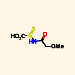 COCC(=O)NS(=S)C(=O)O